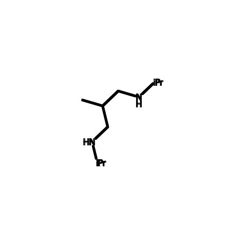 CC(CNC(C)C)CNC(C)C